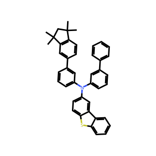 CC1(C)CC(C)(C)c2cc(-c3cccc(N(c4cccc(-c5ccccc5)c4)c4ccc5sc6ccccc6c5c4)c3)ccc21